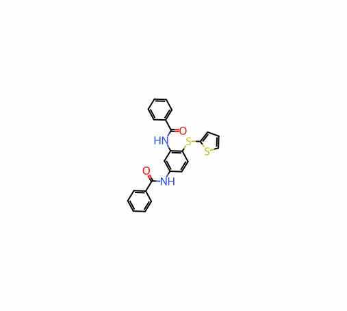 O=C(Nc1ccc(Sc2cccs2)c(NC(=O)c2ccccc2)c1)c1ccccc1